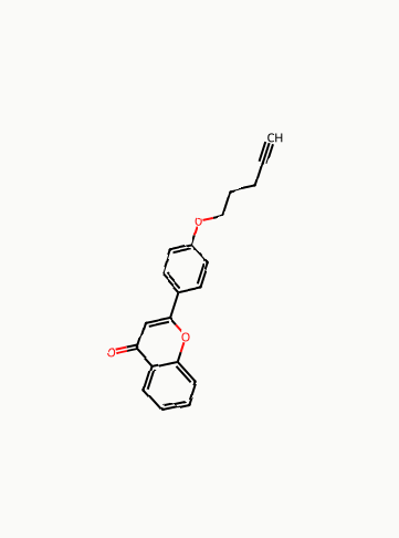 C#CCCCOc1ccc(-c2cc(=O)c3ccccc3o2)cc1